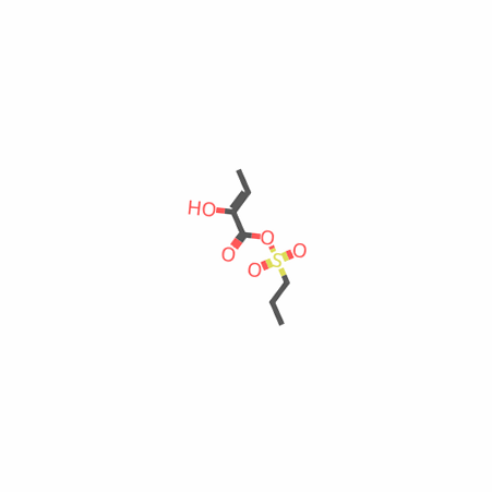 CC=C(O)C(=O)OS(=O)(=O)CCC